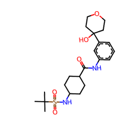 CC(C)(C)S(=O)(=O)NC1CCC(C(=O)Nc2cccc(C3(O)CCOCC3)c2)CC1